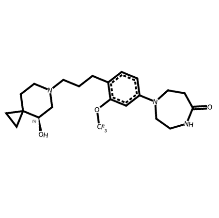 O=C1CCN(c2ccc(CCCN3CCC4(CC4)[C@H](O)C3)c(OC(F)(F)F)c2)CCN1